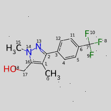 Cc1c(-c2ccc(C(F)(F)F)cc2)nn(C)c1CO